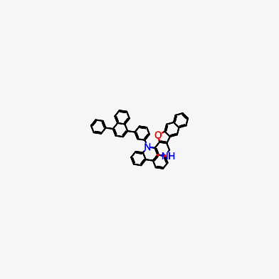 C1=C(N(c2cccc(-c3ccc(-c4ccccc4)c4ccccc34)c2)c2ccccc2-c2ccccc2)c2oc3cc4ccccc4cc3c2CN1